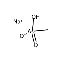 C[As](=O)([O-])O.[Na+]